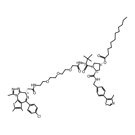 CCCCCCCCCCCC(=O)O[C@@H]1C[C@@H](C(=O)NCc2ccc(-c3scnc3C)cc2)N(C(=O)[C@@H](NC(=O)COCCOCCOCCNC(=O)C[C@@H]2N=C(c3ccc(Cl)cc3)c3c(sc(C)c3C)-n3c(C)nnc32)C(C)(C)C)C1